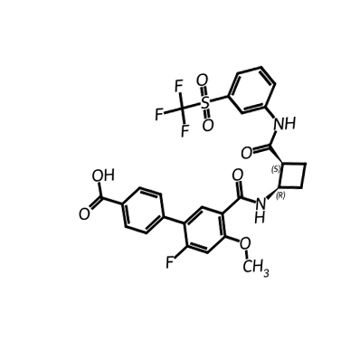 COc1cc(F)c(-c2ccc(C(=O)O)cc2)cc1C(=O)N[C@@H]1CC[C@@H]1C(=O)Nc1cccc(S(=O)(=O)C(F)(F)F)c1